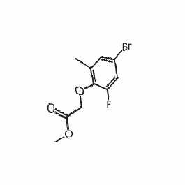 COC(=O)COc1c(C)cc(Br)cc1F